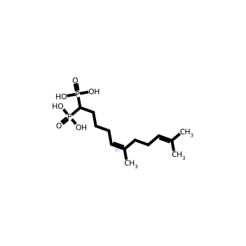 CC(C)=CCC/C(C)=C\CCCC(P(=O)(O)O)P(=O)(O)O